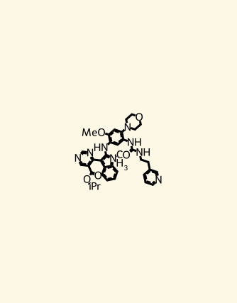 COc1cc(N2CCOCC2)c(NC(=O)NCCc2cccnc2)cc1Nc1c(-c2ncncc2C(=O)OC(C)C)c2ccccc2n1C